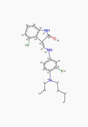 CCCCN(CCC)c1ccc(NC=C2C(=O)Nc3cccc(F)c32)cc1F